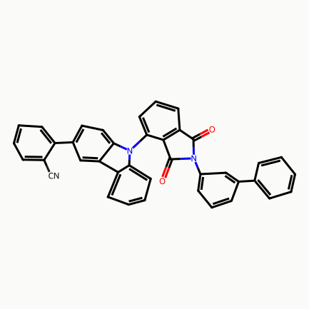 N#Cc1ccccc1-c1ccc2c(c1)c1ccccc1n2-c1cccc2c1C(=O)N(c1cccc(-c3ccccc3)c1)C2=O